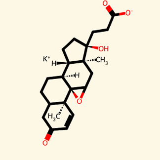 C[C@]12C=CC(=O)CC1CC[C@H]1[C@@H]3CC[C@](O)(CCC(=O)[O-])[C@@]3(C)CC3O[C@]312.[K+]